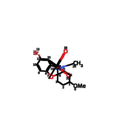 COC1CCC2(CC1)Oc1ccc(Br)cc1C21NC(=O)N(C)C1=O